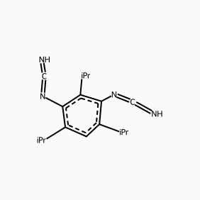 CC(C)c1cc(C(C)C)c(N=C=N)c(C(C)C)c1N=C=N